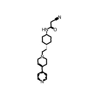 N#CCC(=O)N[C@H]1CC[C@H](CCN2CC=C(c3ccncc3)CC2)CC1